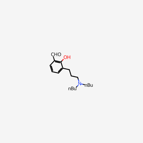 CCCCN(CCCC)CCCc1cccc(C=O)c1O